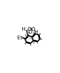 C=O.CCc1ccc2ccccc2c1S(=O)(=O)O